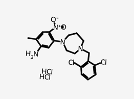 Cc1cc([N+](=O)[O-])c(N2CCCN(Cc3c(Cl)cccc3Cl)CC2)cc1N.Cl.Cl